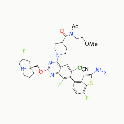 COCCN(C(C)=O)C(=O)C1CCN(c2nc(OC[C@@]34CCCN3C[C@H](F)C4)nc3c(F)c(-c4ccc(F)c5sc(N)c(C#N)c45)c(Cl)cc23)CC1